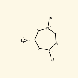 CCN1CCN(C(C)C)C[C@@H](C)C1